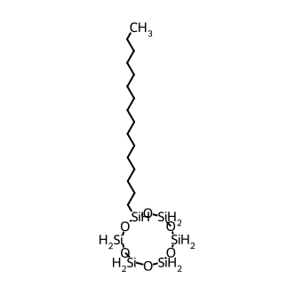 CCCCCCCCCCCCCCCC[SiH]1O[SiH2]O[SiH2]O[SiH2]O[SiH2]O[SiH2]O1